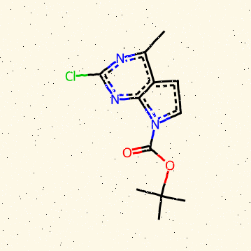 Cc1nc(Cl)nc2c1ccn2C(=O)OC(C)(C)C